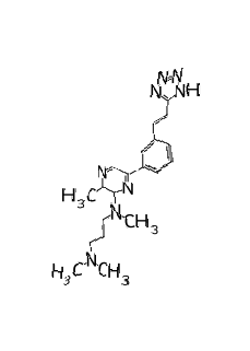 CC1N=CC(c2cccc(/C=C/c3nnn[nH]3)c2)=NC1N(C)CCCN(C)C